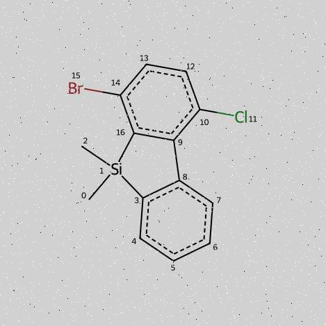 C[Si]1(C)c2ccccc2-c2c(Cl)ccc(Br)c21